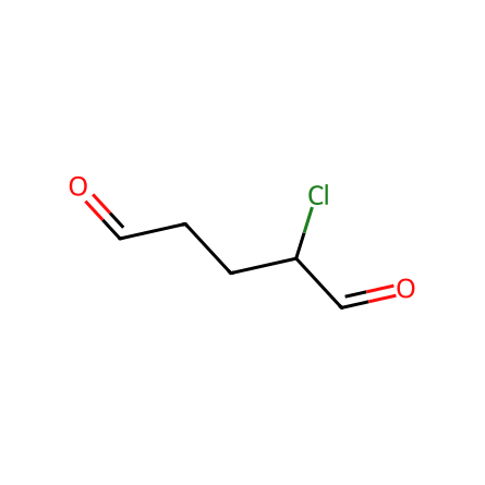 O=CCCC(Cl)C=O